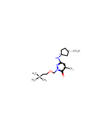 C[Si](C)(C)CCOCn1nc(N[C@H]2CC[C@H](C(=O)O)C2)cc(C(F)(F)F)c1=O